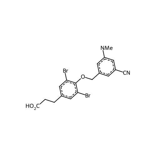 CNc1cc(C#N)cc(COc2c(Br)cc(CCC(=O)O)cc2Br)c1